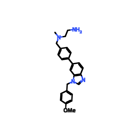 COc1ccc(Cn2cnc3ccc(-c4ccc(CN(C)CCN)cc4)cc32)cc1